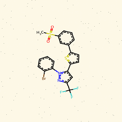 CS(=O)(=O)c1cccc(-c2ccc(-c3cc(C(F)(F)F)nn3-c3ccccc3Br)s2)c1